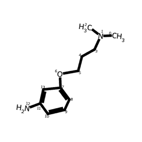 CN(C)CCCOc1cccc(N)c1